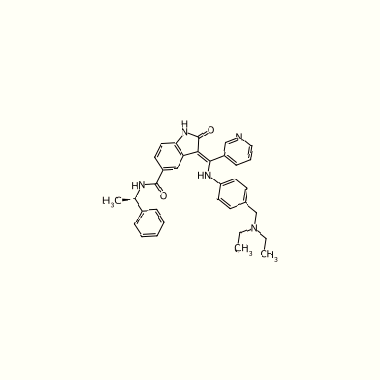 CCN(CC)Cc1ccc(NC(=C2C(=O)Nc3ccc(C(=O)N[C@H](C)c4ccccc4)cc32)c2cccnc2)cc1